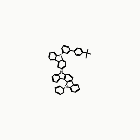 CC(C)(C)c1ccc(-c2cccc(-n3c4ccccc4c4cc(-n5c6ccccc6c6c5ccc5c7ccccc7n(C7C=CC=CC7)c56)ccc43)c2)cc1